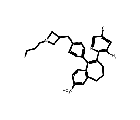 Cc1cc(Cl)cnc1C1=C(c2ccc(CC3CN(CCCF)C3)cc2)c2ccc(C(=O)O)cc2CCC1